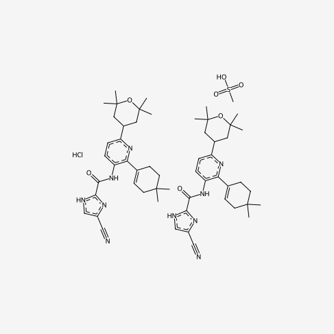 CC1(C)CC=C(c2nc(C3CC(C)(C)OC(C)(C)C3)ccc2NC(=O)c2nc(C#N)c[nH]2)CC1.CC1(C)CC=C(c2nc(C3CC(C)(C)OC(C)(C)C3)ccc2NC(=O)c2nc(C#N)c[nH]2)CC1.CS(=O)(=O)O.Cl